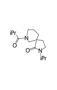 CC(C)C(=O)N1CCCC2(CCN(C(C)C)C2=O)C1